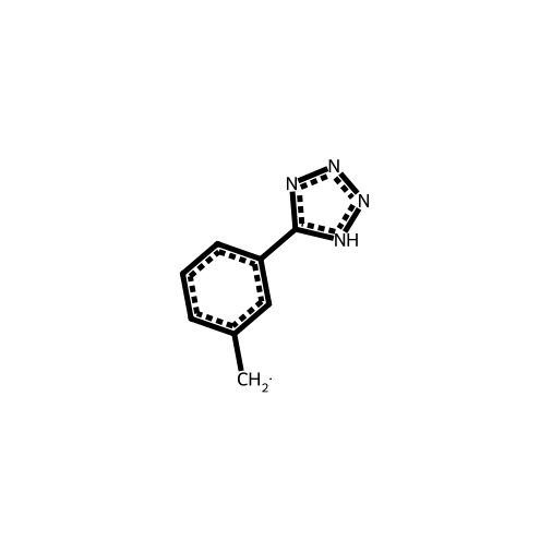 [CH2]c1cccc(-c2nnn[nH]2)c1